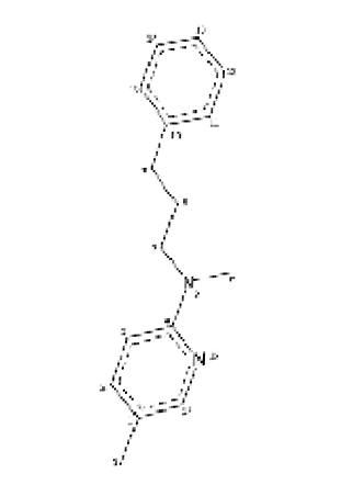 Cc1ccc(N(C)CCCc2ccccc2)nc1